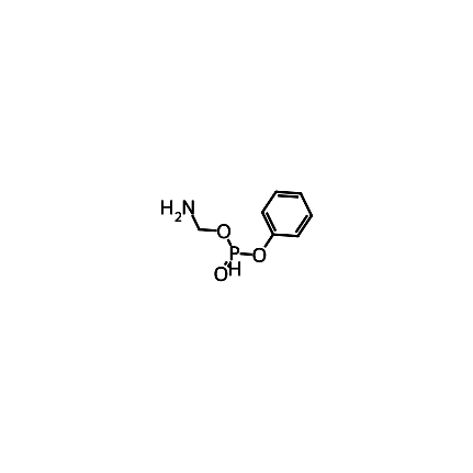 NCO[PH](=O)Oc1ccccc1